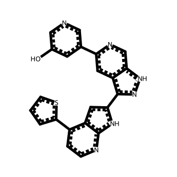 Oc1cncc(-c2cc3c(-c4cc5c(-c6cccs6)ccnc5[nH]4)n[nH]c3cn2)c1